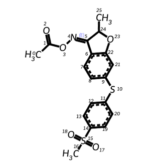 CC(=O)O/N=C1\c2ccc(Sc3ccc(S(C)(=O)=O)cc3)cc2OC1C